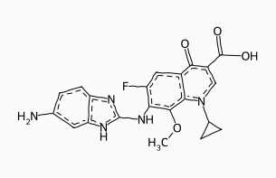 COc1c(Nc2nc3ccc(N)cc3[nH]2)c(F)cc2c(=O)c(C(=O)O)cn(C3CC3)c12